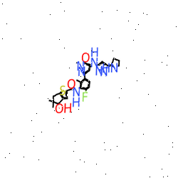 Cc1c(-c2cc(Nc3cc(C4CCCN4)n(C)n3)c(=O)n(C)n2)ccc(F)c1NC(=O)c1cc2c(s1)CC(C)(C)[C@H]2O